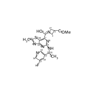 COCC1CN(C(O)c2nc(N[C@@H](C)c3cncc(F)c3)nc3nc(C)sc23)C1